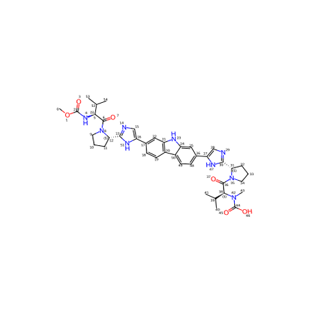 COC(=O)N[C@H](C(=O)N1CCC[C@H]1c1ncc(-c2ccc3c(c2)[nH]c2cc(-c4cnc([C@@H]5CCCN5C(=O)[C@H](C(C)C)N(C)C(=O)O)[nH]4)ccc23)[nH]1)C(C)C